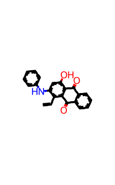 C=Cc1c(Nc2ccccc2)cc(O)c2c1C(=O)c1ccccc1C2=O